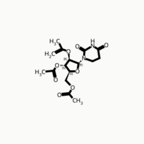 C=C(C)O[C@@H]1[C@@H](OC(C)=O)[C@H](COC(C)=O)O[C@H]1N1CCC(=O)NC1=O